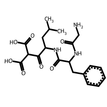 CC(C)CC(NC(=O)C(Cc1ccccc1)NC(=O)CN)C(=O)C(C(=O)O)C(=O)O